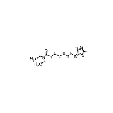 CCN(CC)C(=O)CCCCCCCn1c[c]nc1